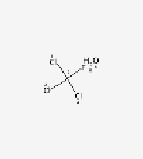 FC(Cl)(Cl)Cl.O